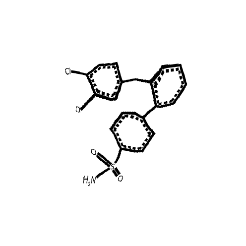 NS(=O)(=O)c1ccc(-c2ccccc2-c2ccc(Cl)c(Cl)c2)cc1